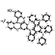 Cc1ccc2c(c1)B1c3cc(C)ccc3Oc3cc(-n4c5ccccc5c5c6c(c7ccccc7n6-c6ccccc6)c6c(c7ccccc7n6-c6ccccc6)c54)cc(c31)O2